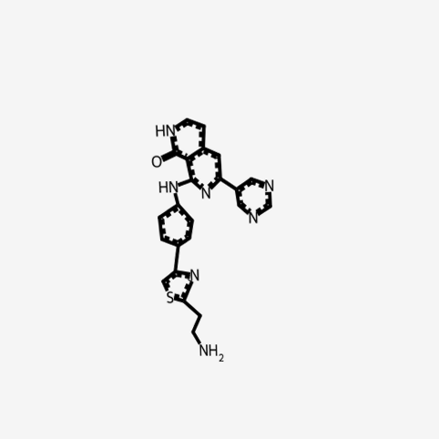 NCCc1nc(-c2ccc(Nc3nc(-c4cncnc4)cc4cc[nH]c(=O)c34)cc2)cs1